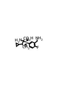 CC(C1CC1)C(N)(C(=O)O)S(=O)(=O)c1ccc(F)c(CN)c1